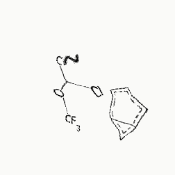 N#CC(Cl)OC(F)(F)F.c1cc2cc-2c1